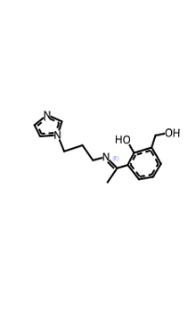 C/C(=N\CCCn1ccnc1)c1cccc(CO)c1O